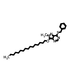 CCCCCCCCCCCCCCCCOc1c2ncnc(SCc3ccccc3)c2nn1C